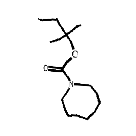 CCC(C)(C)OC(=O)N1CCCCC1